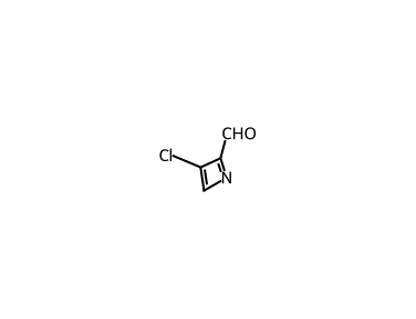 O=CC1=NC=C1Cl